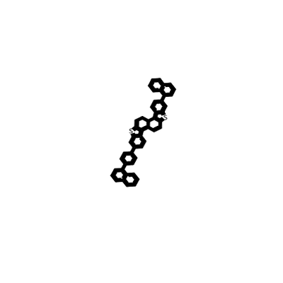 C1=Cc2sc3cc(-c4cccc5ccccc45)ccc3c2C2CC=c3sc4cc(-c5ccc(-c6cccc7ccccc67)cc5)ccc4c3=C12